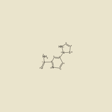 NC(=O)c1cc(N2NC=CS2)ccn1